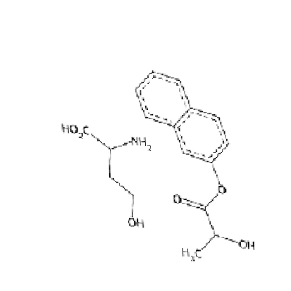 CC(O)C(=O)Oc1ccc2ccccc2c1.NC(CCO)C(=O)O